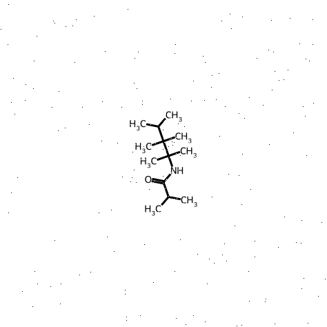 CC(C)C(=O)NC(C)(C)C(C)(C)C(C)C